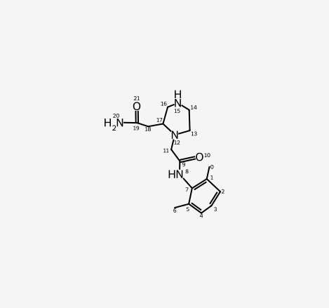 Cc1cccc(C)c1NC(=O)CN1CCNCC1CC(N)=O